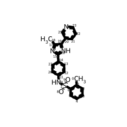 Cc1ccccc1S(=O)(=O)Nc1ccc(-c2nc(C)c(-c3cccnc3)[nH]2)cc1